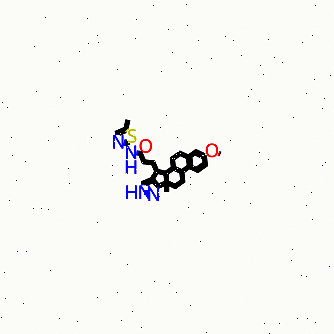 COc1ccc2c(c1)CCC1C2CCC2(C)c3n[nH]cc3C(CCC(=O)Nc3ncc(C)s3)C12